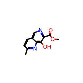 COC(=O)c1ncc2ccc(C)nc2c1O